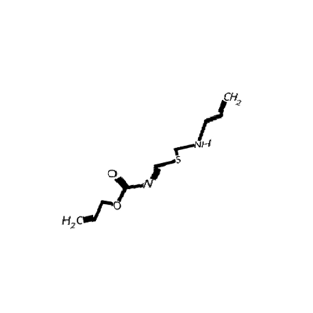 C=CCNCSC=NC(=O)OCC=C